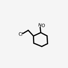 O=NC1CCCCC1CCl